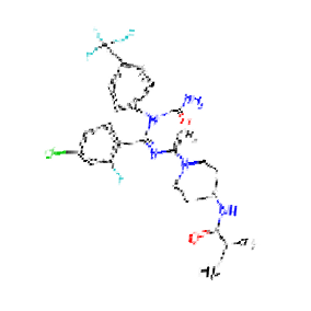 C=C(/N=C(/c1ccc(Cl)cc1F)N(C(N)=O)c1ccc(C(F)(F)F)cc1)N1CCC(NC(=O)C(C)C)CC1